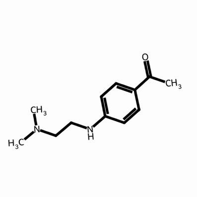 CC(=O)c1ccc(NCCN(C)C)cc1